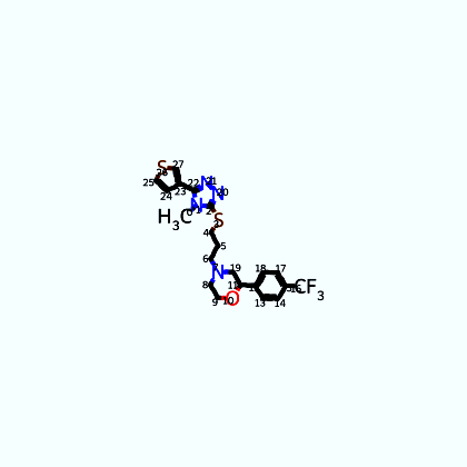 Cn1c(SCCCN2CCOC(c3ccc(C(F)(F)F)cc3)C2)nnc1-c1ccsc1